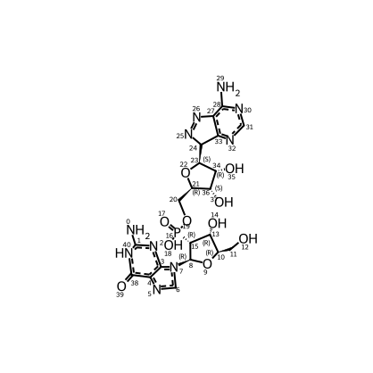 Nc1nc2c(ncn2[C@@H]2O[C@H](CO)[C@@H](O)[C@H]2P(=O)(O)OC[C@H]2O[C@@H](C3N=Nc4c(N)ncnc43)[C@H](O)[C@@H]2O)c(=O)[nH]1